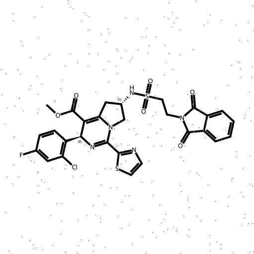 COC(=O)C1=C2C[C@H](NS(=O)(=O)CCN3C(=O)c4ccccc4C3=O)CN2C(c2nccs2)=N[C@H]1c1ccc(F)cc1Cl